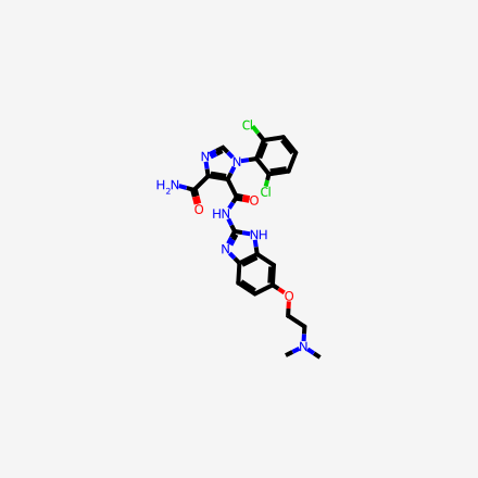 CN(C)CCOc1ccc2nc(NC(=O)c3c(C(N)=O)ncn3-c3c(Cl)cccc3Cl)[nH]c2c1